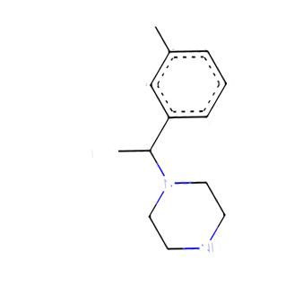 Cc1cccc(C(C)N2CCNCC2)c1